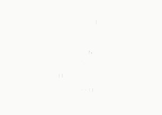 O=C(O)[C@H](O)[C@@H](O)C(=O)N(F)CCCl